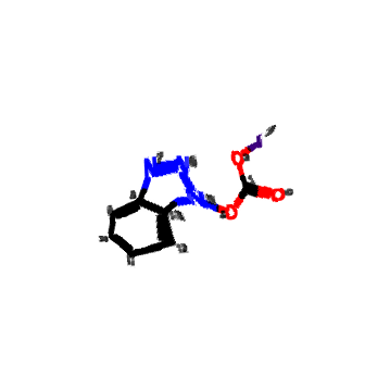 O=C(OI)On1nnc2ccccc21